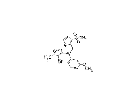 COc1cccc(N(Cc2sccc2S(N)(=O)=O)c2onc(C)c2Br)c1